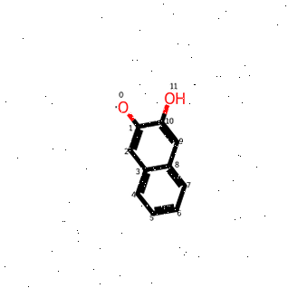 [O]c1cc2ccccc2cc1O